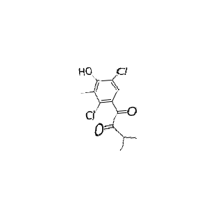 Cc1c(O)c(Cl)cc(C(=O)C(=O)C(C)C)c1Cl